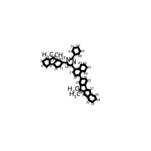 CC1(C)c2ccccc2-c2ccc(-c3cc(-c4ccc(-c5ccc6c(c5)C(C)(C)c5cc7ccccc7cc5-6)c5ccccc45)nc(-c4ccccc4)n3)cc21